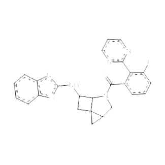 O=C(c1cccc(F)c1-c1ncccn1)N1CC2CC23CC(Nc2nc4ccccc4o2)C13